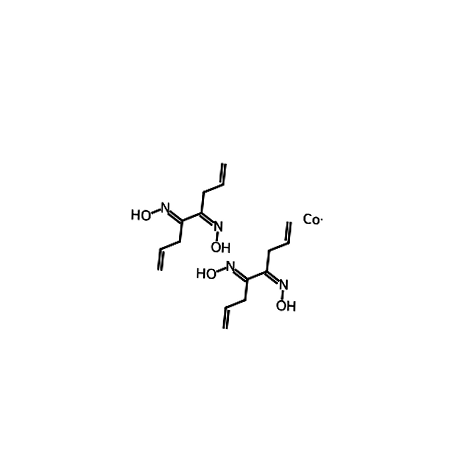 C=CCC(=NO)C(CC=C)=NO.C=CCC(=NO)C(CC=C)=NO.[Co]